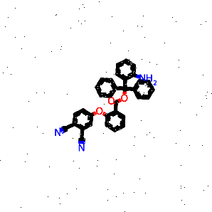 N#Cc1ccc(Oc2ccccc2C(=O)OC(c2ccccc2)(c2ccccc2)c2ccccc2N)cc1C#N